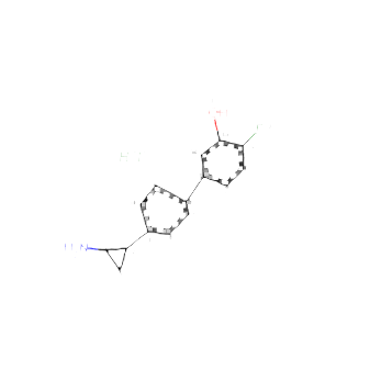 Cl.NC1CC1c1ccc(-c2ccc(F)c(O)c2)cc1